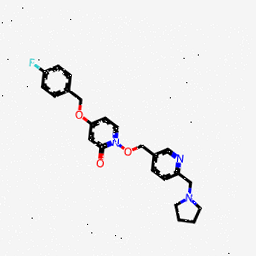 O=c1cc(OCc2ccc(F)cc2)ccn1OCc1ccc(CN2CCCC2)nc1